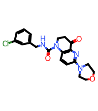 O=C1CCN(C(=O)NCc2cccc(Cl)c2)c2ccc(N3CCOCC3)nc21